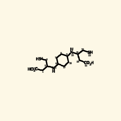 O=C(O)CC(CS)NC1CCC(NC(CS)CC(=O)O)CC1